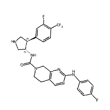 O=C(N[C@@H]1CNC[C@H]1c1ccc(C(F)(F)F)c(F)c1)N1CCc2cnc(Nc3ccc(F)cc3)nc2C1